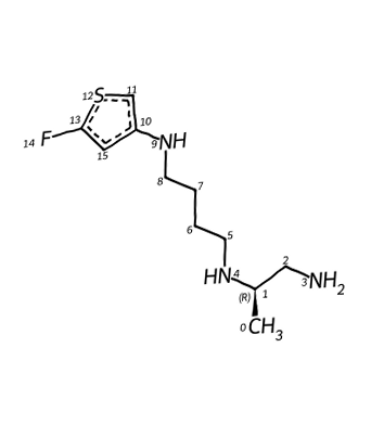 C[C@H](CN)NCCCCNc1csc(F)c1